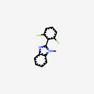 Cn1c(-c2c(F)cccc2F)nc2ccccc21